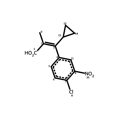 C/C(C(=O)O)=C(/c1ccc(Cl)c([N+](=O)[O-])c1)C1CC1